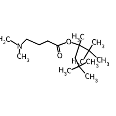 CN(C)CCCC(=O)OC(C)(CC(C)(C)C)C(C)(C)C